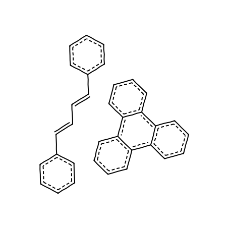 C(/C=C/c1ccccc1)=C\c1ccccc1.c1ccc2c(c1)c1ccccc1c1ccccc21